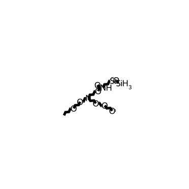 CCCCOCCOCCN(CCCOC(=O)NCCC[Si](C)(C)O[SiH3])CCOCCOCCOC